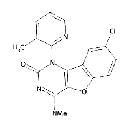 CNc1nc(=O)n(-c2ncccc2C)c2c1oc1ccc(Cl)cc12